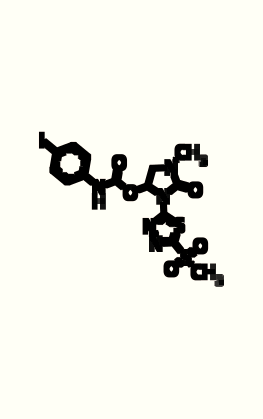 CN1CC(OC(=O)Nc2ccc(I)cc2)N(c2nnc(S(C)(=O)=O)s2)C1=O